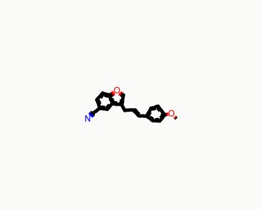 COc1ccc(/C=C/Cc2coc3ccc(C#N)cc23)cc1